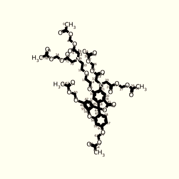 CC(=O)OCOC(=O)CN(CCOCCOc1cc2c(cc1N(CC(=O)OCOC(C)=O)CC(=O)OCOC(C)=O)C(=O)OC21c2ccc(OCOC(C)=O)cc2Oc2cc(OCOC(C)=O)ccc21)CC(=O)OCOC(C)=O